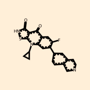 O=c1[nH]sc2c1c(=O)c1cc(F)c(-c3ccc4cnccc4c3)cc1n2C1CC1